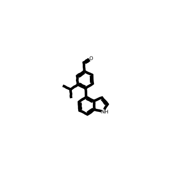 CC(C)c1cc(C=O)ccc1-c1cccc2[nH]ccc12